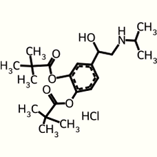 CC(C)NCC(O)c1ccc(OC(=O)C(C)(C)C)c(OC(=O)C(C)(C)C)c1.Cl